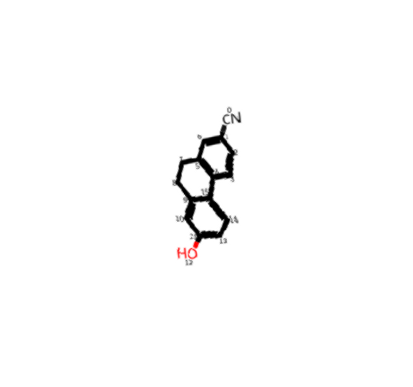 N#Cc1ccc2c(c1)CCc1cc(O)ccc1-2